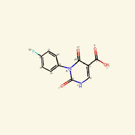 O=C(O)c1c[nH]c(=O)n(-c2ccc(F)cc2)c1=O